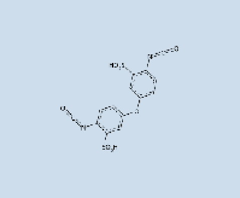 O=C=Nc1ccc(Oc2ccc(N=C=O)c(S(=O)(=O)O)c2)cc1S(=O)(=O)O